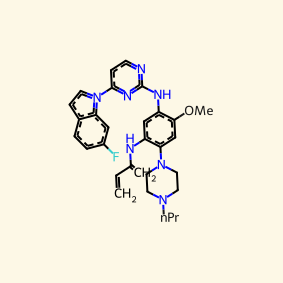 C=CC(=C)Nc1cc(Nc2nccc(-n3ccc4ccc(F)cc43)n2)c(OC)cc1N1CCN(CCC)CC1